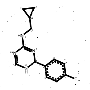 Fc1ccc(C2N=C(NCC3CC3)N=CN2)cc1